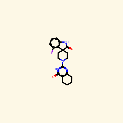 O=C1Nc2cccc(I)c2C12CCN(c1nc3c(c(=O)[nH]1)CCCC3)CC2